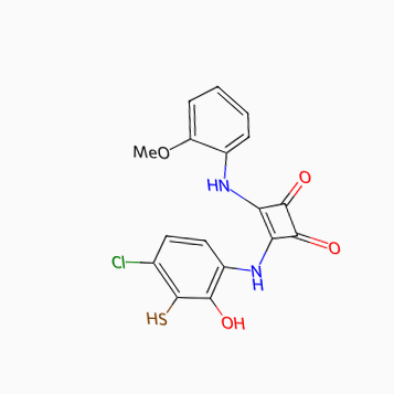 COc1ccccc1Nc1c(Nc2ccc(Cl)c(S)c2O)c(=O)c1=O